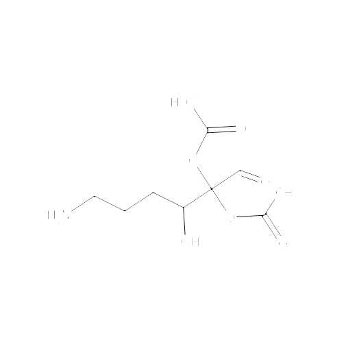 CC(=O)OC([C]=O)(OC(C)=O)C(O)CCCN